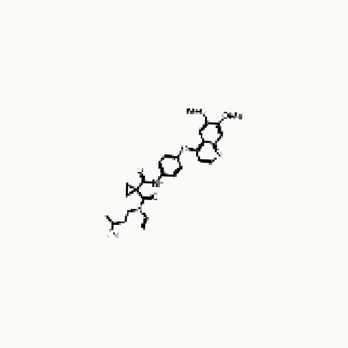 C=CN(CCC(C)C#N)C(=O)C1(C(=O)Nc2ccc(Oc3ccnc4cc(OC)c(OC)cc34)cc2)CC1